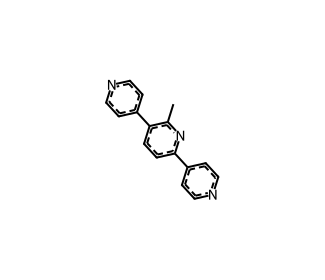 Cc1nc(-c2ccncc2)ccc1-c1ccncc1